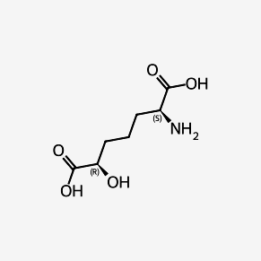 N[C@@H](CCC[C@@H](O)C(=O)O)C(=O)O